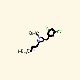 C/C=C/CCCC(CNC=O)Cc1cc(F)cc(Cl)c1